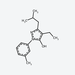 CCc1c(CC(C)C)nn(-c2cccc(C)c2)c1O